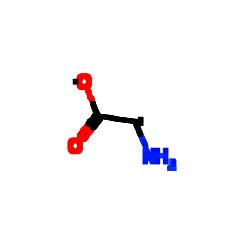 N[C]C([O])=O